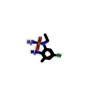 CCN(c1cc(Br)cc(C)c1N)S(N)(=O)=O